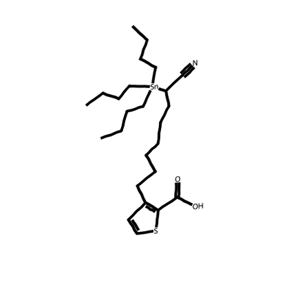 CCC[CH2][Sn]([CH2]CCC)([CH2]CCC)[CH](C#N)CCCCCCc1ccsc1C(=O)O